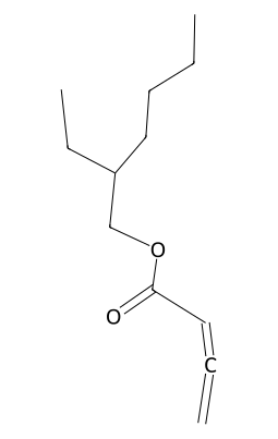 C=C=CC(=O)OCC(CC)CCCC